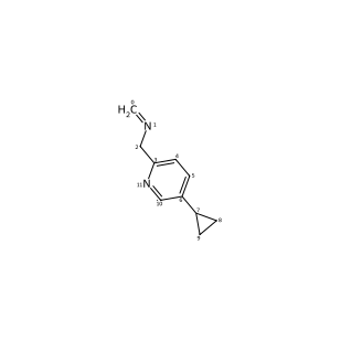 C=NCc1ccc(C2CC2)[c]n1